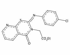 CCOC(=O)Cn1c(=Nc2ccc(Cl)cc2)sc2ncccc2c1=O